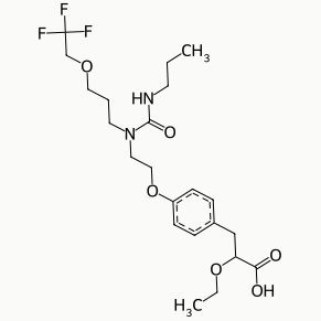 CCCNC(=O)N(CCCOCC(F)(F)F)CCOc1ccc(CC(OCC)C(=O)O)cc1